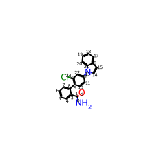 NC(=O)c1ccccc1-c1ccc(-n2ccc3ccccc32)cc1Cl